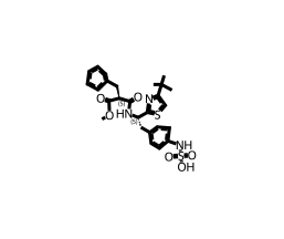 COC(=O)[C@@H](Cc1ccccc1)C(=O)N[C@@H](Cc1ccc(NS(=O)(=O)O)cc1)c1nc(C(C)(C)C)cs1